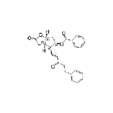 O=C(/C=C/[C@H]1[C@@H]2CC(=O)O[C@@H]2C[C@H]1OC(=O)c1ccccc1)CCc1ccccc1